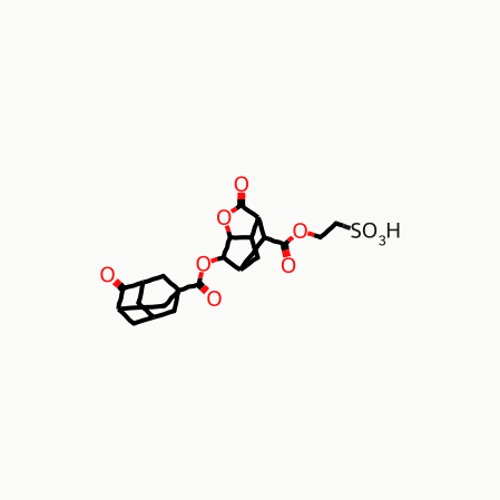 O=C1C2CC3CC1CC(C(=O)OC1C4CC5C1OC(=O)C5C4C(=O)OCCS(=O)(=O)O)(C3)C2